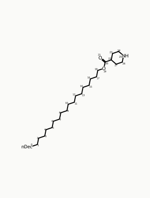 CCCCCCCCCCCCCCCCCCCCCCCCCCCCOC(=O)C1CCNCC1